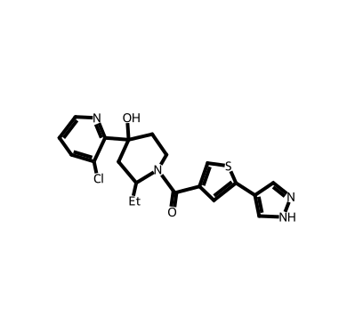 CCC1CC(O)(c2ncccc2Cl)CCN1C(=O)c1csc(-c2cn[nH]c2)c1